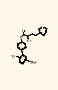 COc1ccc(C)c(-c2ccc(OC(C)C(O)CCc3cccnc3)cc2)c1